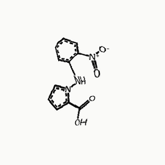 O=C(O)c1cccn1Nc1ccccc1[N+](=O)[O-]